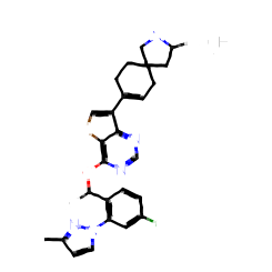 Cc1ccn(-c2cc(Cl)ccc2C(Oc2ncnc3c(C4=CCC5(CC4)CNC(C(=O)O)C5)csc23)C(F)(F)F)n1